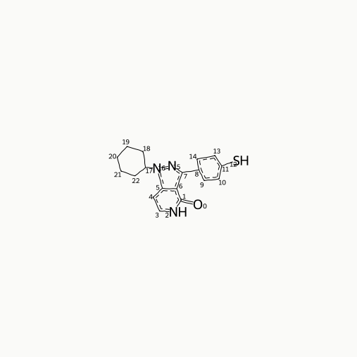 O=c1[nH]ccc2c1c(-c1ccc(S)cc1)nn2C1CCCCC1